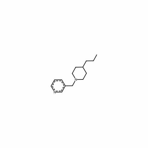 CCCC1CCN(Cc2cccnc2)CC1